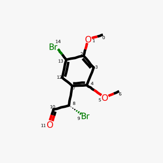 COc1cc(OC)c([C@H](Br)C=O)cc1Br